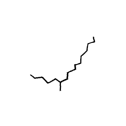 CCCCCCCCCCC(C)CCCCC